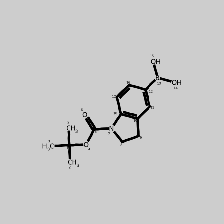 CC(C)(C)OC(=O)N1CCc2cc(B(O)O)ccc21